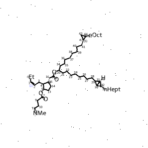 CC/C=C\CC1C(OC(=O)CCCNC)CC[C@H]1CC(=O)OC(CCCCCCCCC1C2[C@@H]1[C@H]2CCCCCCC)CCCCCCCC[C@H]1C[C@H]1CCCCCCCC